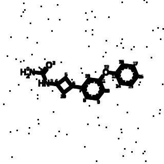 NC(=O)NC1CC(c2cccc(Oc3ccccc3)c2)C1